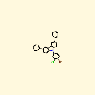 Clc1cc(-n2c3ccc(-c4ccccc4)cc3c3cc(-c4ccccc4)ccc32)ccc1Br